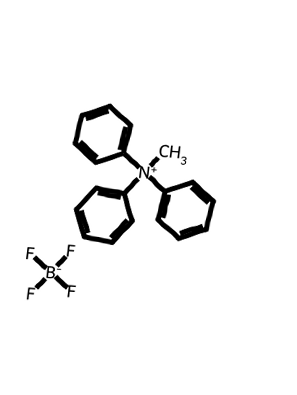 C[N+](c1ccccc1)(c1ccccc1)c1ccccc1.F[B-](F)(F)F